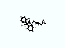 CN(C)CC#CCOC(=O)C(O)(c1ccccc1)C1CCCCC1